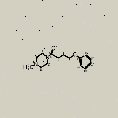 CN1CCN(C(=O)CCCOc2cc[c]cc2)CC1